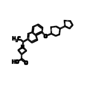 CC(c1ccc2c(OC3CCC(C4CCCC4)CC3)cccc2c1)N1CC(C(=O)O)C1